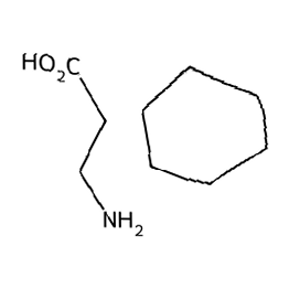 C1CCCCC1.NCCC(=O)O